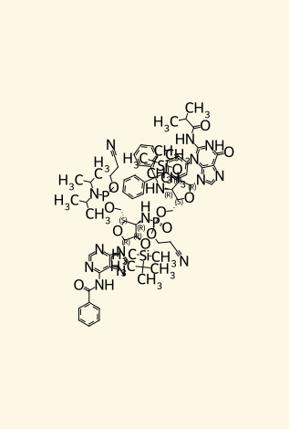 CC(C)C(=O)Nc1nc2c(ncn2[C@@H]2O[C@H](COP(=O)(N[C@H]3[C@@H](O[Si](C)(C)C(C)(C)C)[C@H](n4cnc5c(NC(=O)c6ccccc6)ncnc54)O[C@@H]3COP(OCCC#N)N(C(C)C)C(C)C)OCCC#N)[C@@H](NC(c3ccccc3)(c3ccccc3)c3ccccc3)[C@H]2O[Si](C)(C)C(C)(C)C)c(=O)[nH]1